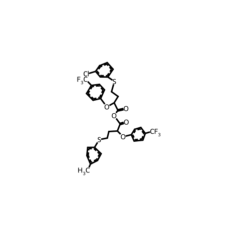 Cc1ccc(SCCC(Oc2ccc(C(F)(F)F)cc2)C(=O)OC(=O)C(CCSc2cccc(Cl)c2)Oc2ccc(C(F)(F)F)cc2)cc1